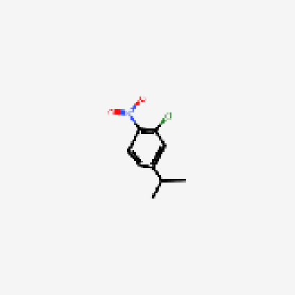 [CH2]C(C)c1ccc([N+](=O)[O-])c(Cl)c1